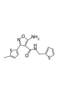 Cc1ccc(-c2noc(N)c2C(=O)NCc2cccs2)s1